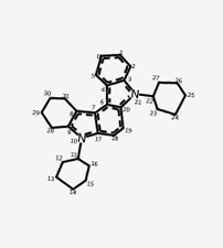 c1ccc2c(c1)c1c3c4c(n(C5CCCCC5)c3ccc1n2C1CCCCC1)CCCC4